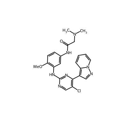 COc1ccc(NC(=O)CN(C)C)cc1Nc1ncc(Cl)c(-c2cnn3ccccc23)n1